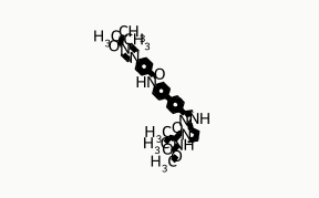 COC(=O)N[C@H](C(=O)N1CCCC1c1nc(-c2ccc(-c3ccc(NC(=O)c4ccc(N5CCN(C(=O)C(C)(C)C)CC5)cc4)cc3)cc2)c[nH]1)C(C)C